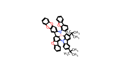 CC(C)(C)c1ccc2c(c1)c1cc(C(C)(C)C)cc3c1n2-c1c2c(cc4oc5ccccc5c14)-c1cc4c(cc1N(c1cccc5c1oc1ccccc15)B23)Oc1ccccc1O4